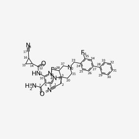 N#CC[C@]1(n2cc(C(N)=O)c(NC(=O)C3CC3C#N)n2)CCN(Cc2ccc(-c3ccccc3)cc2F)CC1F